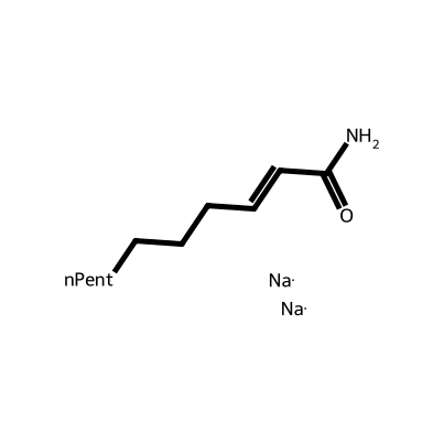 CCCCCCCCC=CC(N)=O.[Na].[Na]